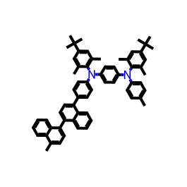 Cc1ccc(N(c2ccc(N(c3ccc(-c4ccc(-c5ccc(C)c6ccccc56)c5ccccc45)cc3)c3c(C)cc(C(C)(C)C)cc3C)cc2)c2c(C)cc(C(C)(C)C)cc2C)cc1